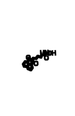 O=C(CCCCCN1C(=O)C2=CC=CC3=CC=CC(C1=O)C32)NO